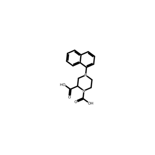 O=C(O)C1CN(c2cccc3ccccc23)CCN1C(=O)O